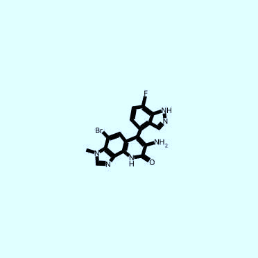 Cn1cnc2c3[nH]c(=O)c(N)c(-c4ccc(F)c5[nH]ncc45)c3cc(Br)c21